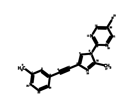 Cc1cc(C#Cc2cn(-c3ncc(F)cn3)c(C)n2)ccn1